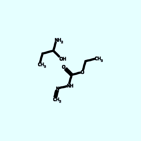 C=NNC(=O)OCC.CCC(N)O